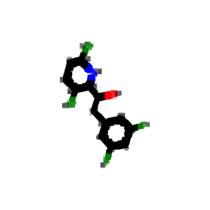 O=C(Cc1cc(F)cc(F)c1)c1nc(Br)ccc1Br